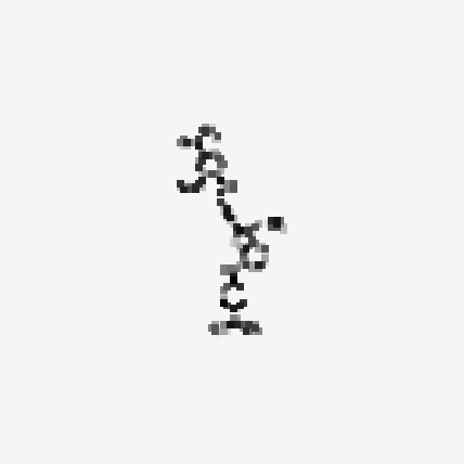 COc1cc(C(N)=O)ccc1NCC#Cc1cc2c(NC3CCC(N(C)C)CC3)cccc2n1CC(F)(F)F